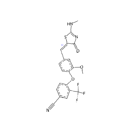 CNC1=NC(=O)/C(=C\c2ccc(Oc3ccc(C#N)cc3C(F)(F)F)c(OC)c2)S1